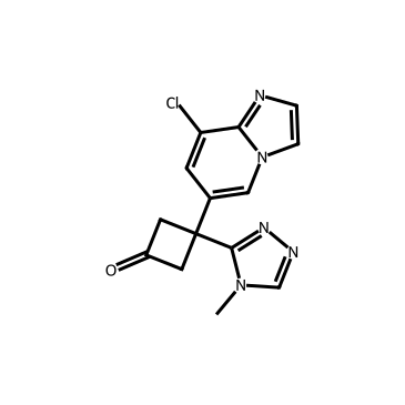 Cn1cnnc1C1(c2cc(Cl)c3nccn3c2)CC(=O)C1